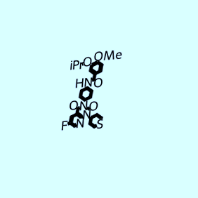 COc1ccc(C(=O)N[C@H]2CC[C@@H](n3c(=O)c4cc(F)cnc4n(C4CCSCC4)c3=O)CC2)cc1OC(C)C